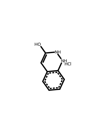 Cl.OC1=Cc2ccccc2NN1